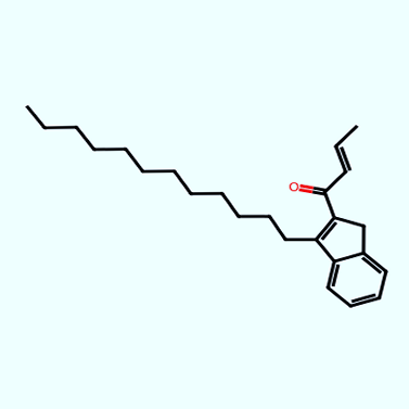 C/C=C/C(=O)C1=C(CCCCCCCCCCCC)c2ccccc2C1